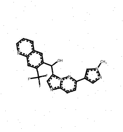 Cn1cc(-c2ccc3ncc(C(O)c4cc5cccnc5cc4C(F)(F)F)n3n2)cn1